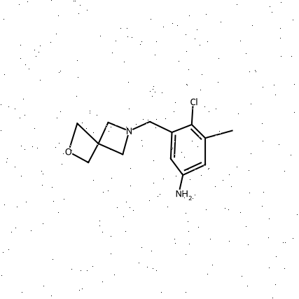 Cc1cc(N)cc(CN2CC3(COC3)C2)c1Cl